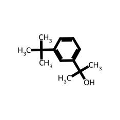 CC(C)(C)c1cccc(C(C)(C)O)c1